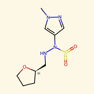 Cn1cc(N(NC[C@H]2CCCO2)[SH](=O)=O)cn1